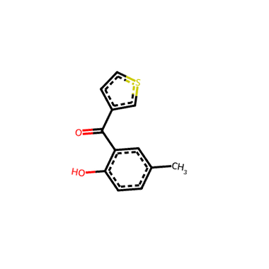 Cc1ccc(O)c(C(=O)c2ccsc2)c1